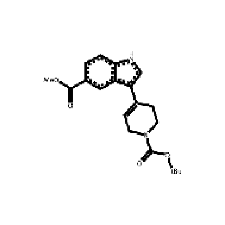 COC(=O)c1ccc2[nH]cc(C3=CCN(C(=O)OC(C)(C)C)CC3)c2c1